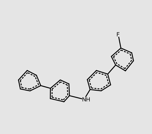 Fc1cccc(-c2ccc(Nc3ccc(-c4ccccc4)cc3)cc2)c1